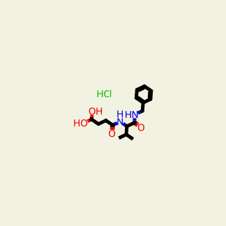 CC(C)C(NC(=O)CCC(O)O)C(=O)NCc1ccccc1.Cl